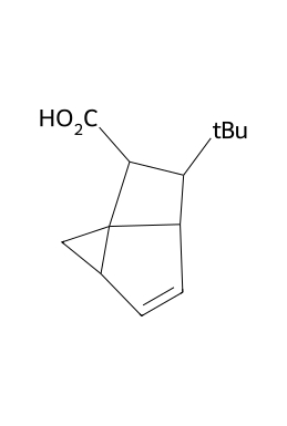 CC(C)(C)C1C2C=CC3CC32C1C(=O)O